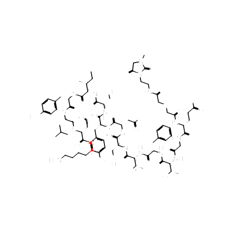 CC[C@H](C)[C@H](NC(=O)[C@H](CO)NC(=O)[C@H](Cc1ccc(O)cc1)NC(=O)[C@H](CC(=O)O)NC(=O)[C@H](CO)NC(=O)[C@@H](NC(=O)[C@H](Cc1ccccc1)NC(=O)[C@@H](NC(=O)CNC(=O)[C@H](CCC(=O)O)NC(=O)CSCC(=O)NCCN1C(=O)CN(C)C1=O)[C@@H](C)O)[C@@H](C)O)C(=O)N[C@@H](Cc1ccc(O)cc1)C(=O)N[C@@H](CC(C)C)C(=O)N[C@@H](CC(=O)O)C(=O)N[C@H](C)CCCCN